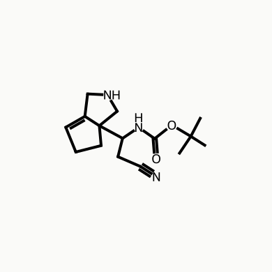 CC(C)(C)OC(=O)NC(CC#N)C12CCC=C1CNC2